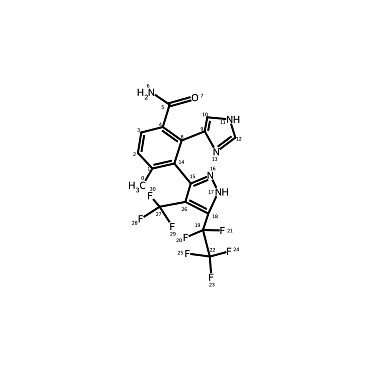 Cc1ccc(C(N)=O)c(-c2c[nH]cn2)c1-c1n[nH]c(C(F)(F)C(F)(F)F)c1C(F)(F)F